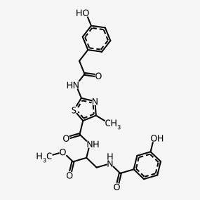 COC(=O)C(CNC(=O)c1cccc(O)c1)NC(=O)c1sc(NC(=O)Cc2cccc(O)c2)nc1C